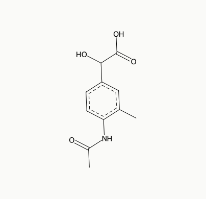 CC(=O)Nc1ccc(C(O)C(=O)O)cc1C